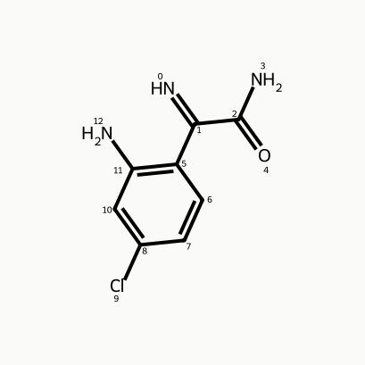 N=C(C(N)=O)c1ccc(Cl)cc1N